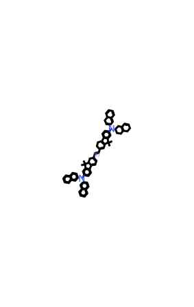 CC1(C)C2=C(CCC(/C=C/C3=CC=C4c5ccc(N(c6ccc7ccccc7c6)c6ccc7ccccc7c6)cc5C(C)(C)C4C3)=C2)c2ccc(N(C3=CCC4C=CC=CC4=C3)C3CCC4=C(C=CCC4)C3)cc21